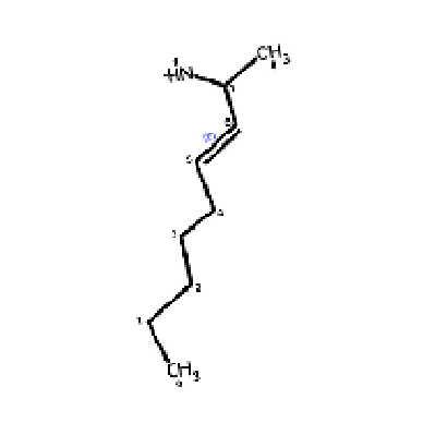 CCCCC/C=C/C(C)[NH]